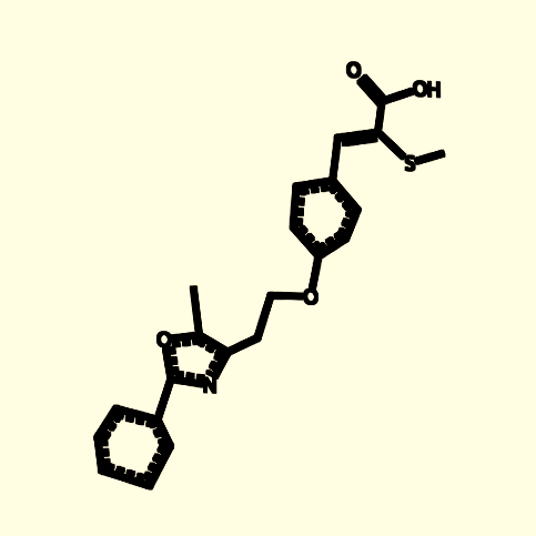 CSC(=Cc1ccc(OCCc2nc(-c3ccccc3)oc2C)cc1)C(=O)O